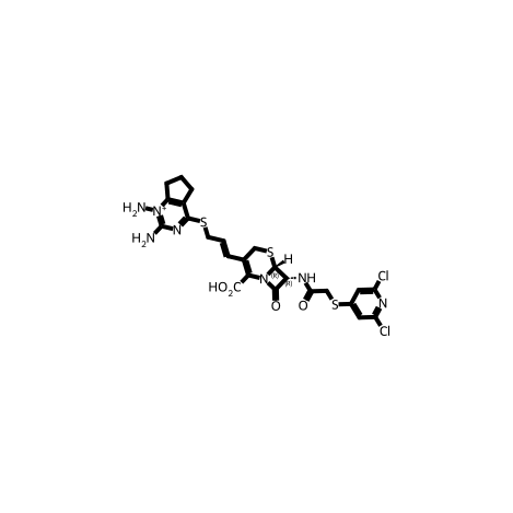 Nc1nc(SCC=CC2=C(C(=O)O)N3C(=O)[C@@H](NC(=O)CSc4cc(Cl)nc(Cl)c4)[C@H]3SC2)c2c([n+]1N)CCC2